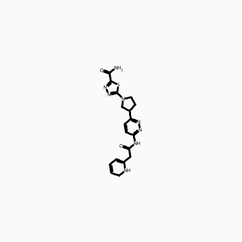 NC(=O)c1nnc(N2CCC(c3ccc(NC(=O)CC4=CC=CCN4)nn3)C2)s1